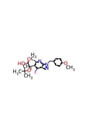 COc1ccc(Cn2ncc3c(I)c(C(OC(C)(C)C)C(=O)O)c(C)nc32)cc1